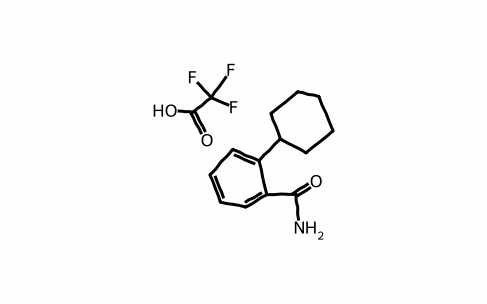 NC(=O)c1ccccc1C1CCCCC1.O=C(O)C(F)(F)F